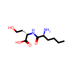 CCCC[C@H](N)C(=O)N[C@@H](CCO)C(=O)O